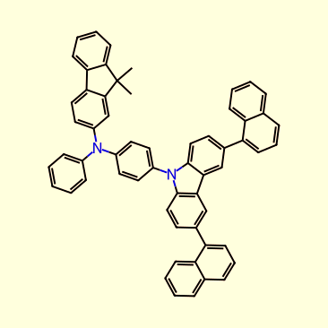 CC1(C)c2ccccc2-c2ccc(N(c3ccccc3)c3ccc(-n4c5ccc(-c6cccc7ccccc67)cc5c5cc(-c6cccc7ccccc67)ccc54)cc3)cc21